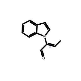 C/C=C(/C=O)n1ccc2ccccc21